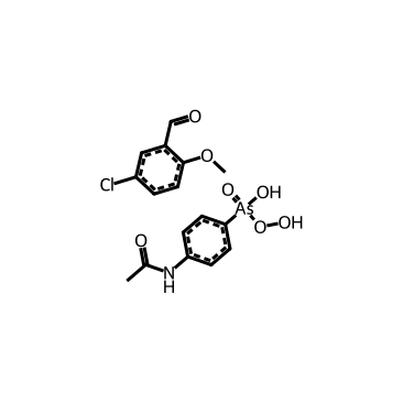 CC(=O)Nc1ccc([As](=O)(O)OO)cc1.COc1ccc(Cl)cc1C=O